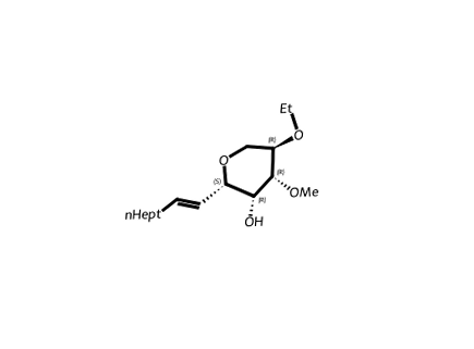 CCCCCCCC=C[C@@H]1OC[C@@H](OCC)[C@H](OC)[C@@H]1O